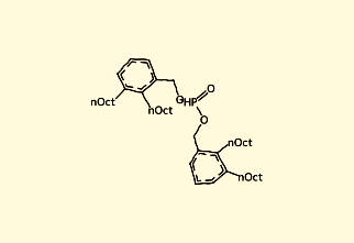 CCCCCCCCc1cccc(CO[PH](=O)OCc2cccc(CCCCCCCC)c2CCCCCCCC)c1CCCCCCCC